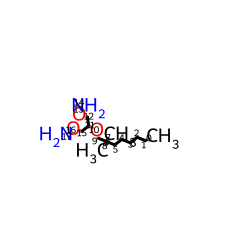 CCCCCCC(C)(C)COC(CON)CON